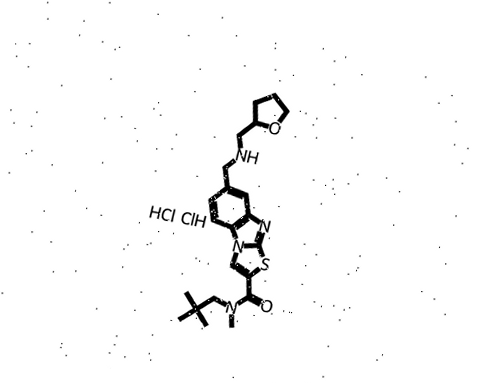 CN(CC(C)(C)C)C(=O)c1cn2c(nc3cc(CNCC4CCCO4)ccc32)s1.Cl.Cl